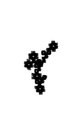 O=C(CCCNCC(COc1ccc2oc(-c3ccccc3)cc(=O)c2c1)OC(=O)C(c1ccccc1)c1ccccc1)OCc1ccccc1